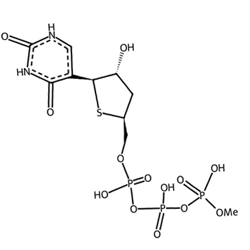 COP(=O)(O)OP(=O)(O)OP(=O)(O)OC[C@@H]1C[C@@H](O)[C@H](c2c[nH]c(=O)[nH]c2=O)S1